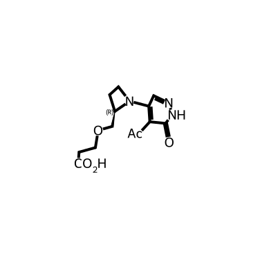 CC(=O)c1c(N2CC[C@@H]2COCCC(=O)O)cn[nH]c1=O